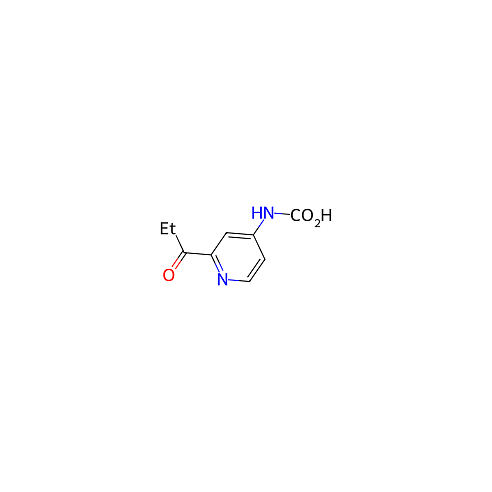 CCC(=O)c1cc(NC(=O)O)ccn1